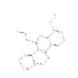 OCCc1cccc2c1cc(CCO)c1c3ccccc3ccc21